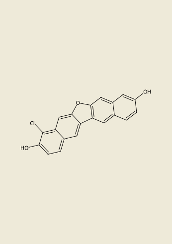 Oc1ccc2cc3c(cc2c1)oc1cc2c(Cl)c(O)ccc2cc13